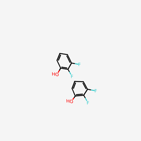 Oc1cccc(F)c1F.Oc1cccc(F)c1F